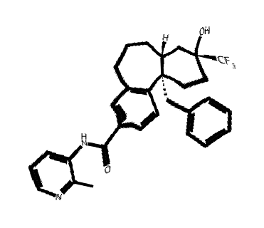 Cc1ncccc1NC(=O)c1ccc2c(c1)CCC[C@@H]1C[C@@](O)(C(F)(F)F)CC[C@@]21Cc1ccccc1